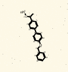 CCCOC(C)c1ccc(-c2ccc(OCc3ccccc3)cc2)cc1